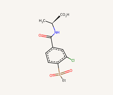 CCS(=O)(=O)c1ccc(C(=O)N[C@@H](C)C(=O)O)cc1Cl